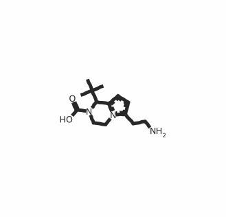 CC(C)(C)C1c2ccc(CCN)n2CCN1C(=O)O